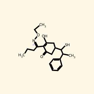 CCC/C(=N/OCC)C1=C(O)CC(C(S)C(C)c2ccccc2)CC1=O